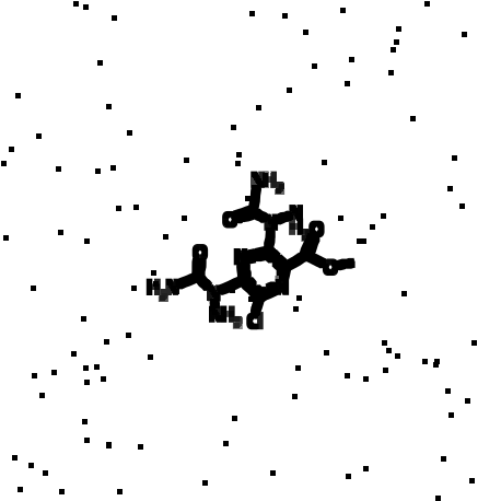 COC(=O)c1nc(Cl)c(N(N)C(N)=O)nc1N(N)C(N)=O